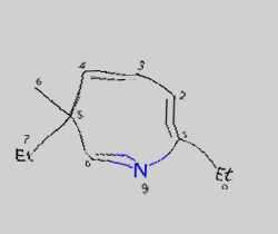 CCC1=CC=CC(C)(CC)C=N1